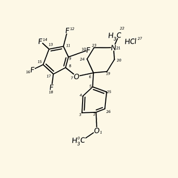 COc1ccc(C2(Oc3c(F)c(F)c(F)c(F)c3F)CCN(C)CC2)cc1.Cl